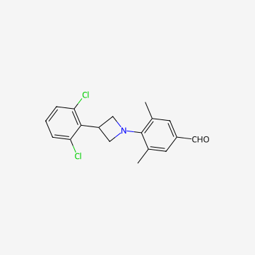 Cc1cc(C=O)cc(C)c1N1CC(c2c(Cl)cccc2Cl)C1